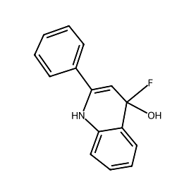 OC1(F)C=C(c2ccccc2)Nc2ccccc21